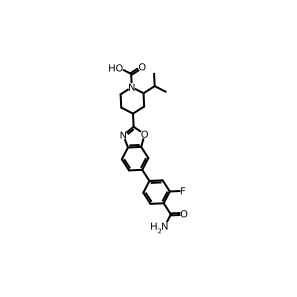 CC(C)C1CC(c2nc3ccc(-c4ccc(C(N)=O)c(F)c4)cc3o2)CCN1C(=O)O